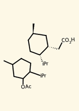 CC(=O)OC1CC(C)CCC1C(C)C.CC(C)[C@@H]1CC[C@@H](C)C[C@@H]1CC(=O)O